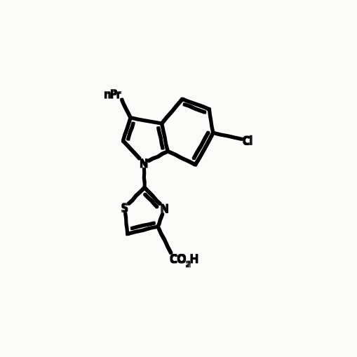 CCCc1cn(-c2nc(C(=O)O)cs2)c2cc(Cl)ccc12